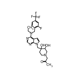 CCN(Cc1ccc(C(F)(F)F)cc1F)c1ncnc2c1ccn2CC1(O)CCN(CC(C)=O)CC1O